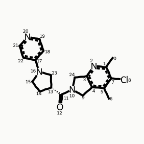 Cc1nc2c(c(C)c1Cl)CN(C(=O)[C@@H]1CCN(c3ccncc3)C1)C2